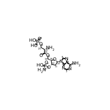 Nc1ncnc2c1ncn2[C@H]1C[C@H](OP(N)(=O)O)[C@@H](COC(=O)[C@@H](N)COP(=O)(O)O)O1